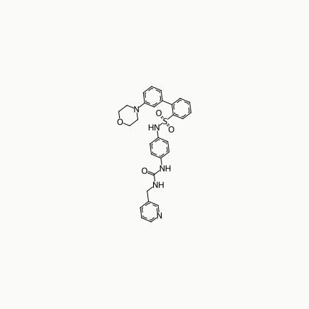 O=C(NCc1cccnc1)Nc1ccc(NS(=O)(=O)c2ccccc2-c2cccc(N3CCOCC3)c2)cc1